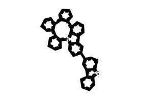 c1ccc2c(c1)sc1ccc(-c3ccc4c(c3)c3cccc5c6ccccc6c6ccccc6c6ccccc6n4c53)cc12